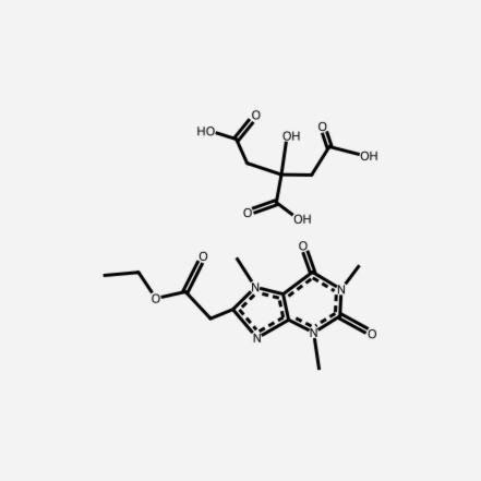 CCOC(=O)Cc1nc2c(c(=O)n(C)c(=O)n2C)n1C.O=C(O)CC(O)(CC(=O)O)C(=O)O